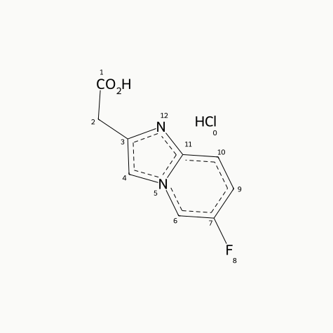 Cl.O=C(O)Cc1cn2cc(F)ccc2n1